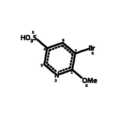 COc1ncc(S(=O)(=O)O)cc1Br